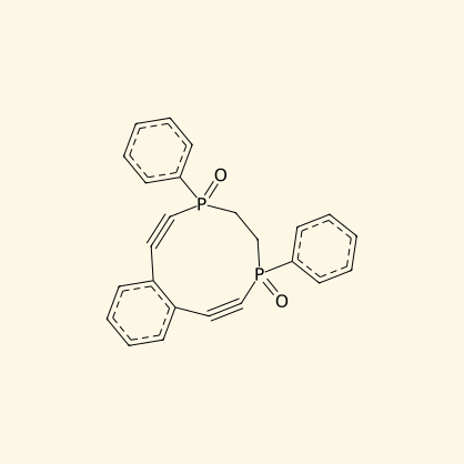 O=P1(c2ccccc2)C#Cc2ccccc2C#CP(=O)(c2ccccc2)CC1